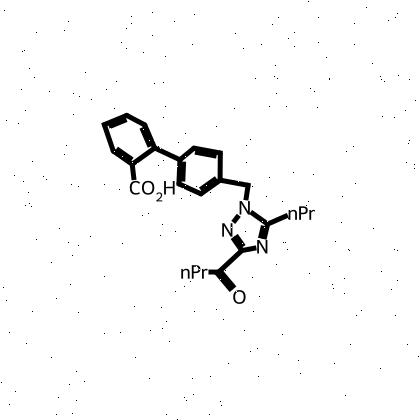 CCCC(=O)c1nc(CCC)n(Cc2ccc(-c3ccccc3C(=O)O)cc2)n1